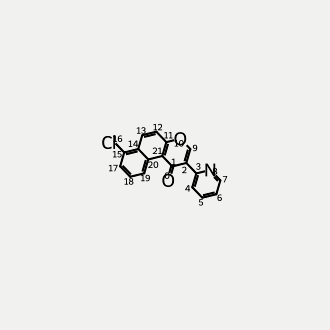 O=c1c(-c2ccccn2)coc2ccc3c(Cl)cccc3c12